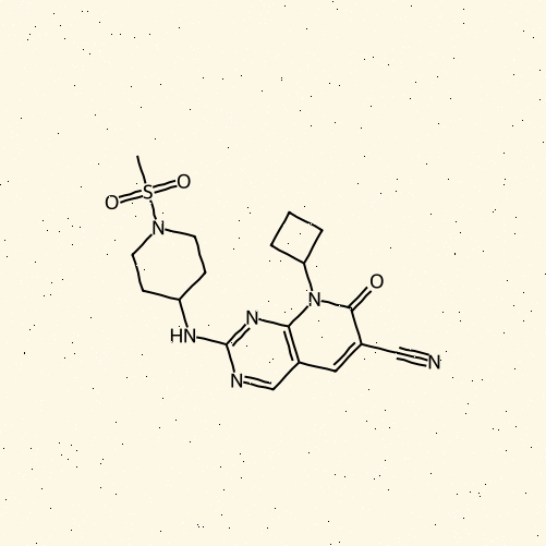 CS(=O)(=O)N1CCC(Nc2ncc3cc(C#N)c(=O)n(C4CCC4)c3n2)CC1